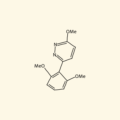 COc1ccc(-c2c(OC)cccc2OC)nn1